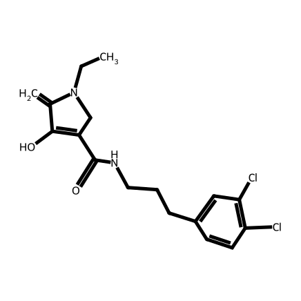 C=C1C(O)=C(C(=O)NCCCc2ccc(Cl)c(Cl)c2)CN1CC